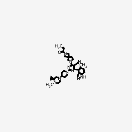 C=CC(=O)N1CC2(CCN(c3nc(N4CCC(N5CCN(C)C6(CC6)C5)CC4)nc(-c4c(C)ccc5[nH]ncc45)c3C#N)C2)C1